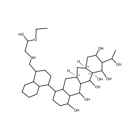 CCOC(O)CNCC1CCC(C2CCC(O)C3C(O)C4C(O)[C@]5(O)C(O)C(C(C)O)C(O)C[C@@H]5C[C@@H]4CC23)C2CCCCC12